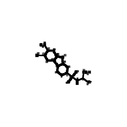 CC(C)C(NS(=O)(=O)c1ccc2c(c1)oc1cc([N+](=O)[O-])c(Br)cc12)C(=O)O